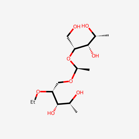 CCO[C@H](CO[C@H](C)O[C@H](CO)[C@@H](O)[C@@H](C)O)[C@@H](O)[C@@H](C)O